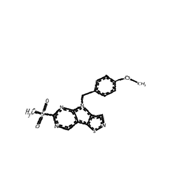 COc1ccc(Cn2c3cnsc3c3cnc(S(C)(=O)=O)nc32)cc1